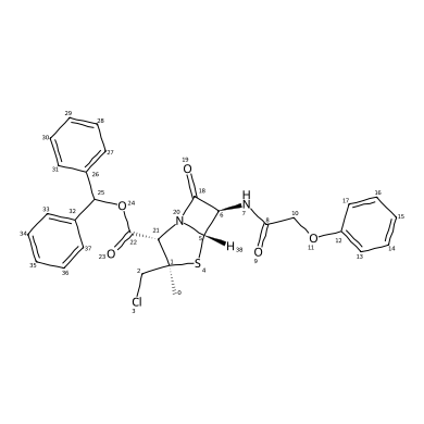 C[C@@]1(CCl)S[C@H]2[C@H](NC(=O)COc3ccccc3)C(=O)N2[C@H]1C(=O)OC(c1ccccc1)c1ccccc1